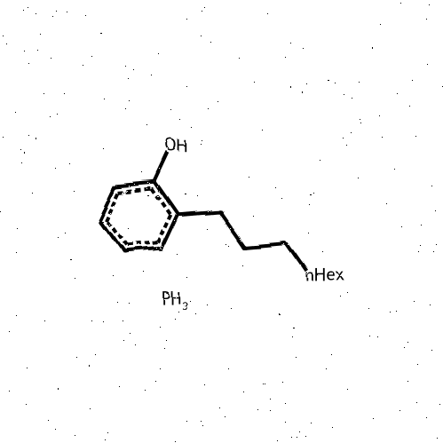 CCCCCCCCCc1ccccc1O.P